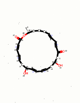 C[C@@H]1CCC/C=C/C=C/C(=O)C[C@@H](O)C/C=C\C=C\[C@@H](O)C/C=C/C=C\C(=O)O1